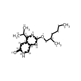 CCCCC(C)COc1nc(C(C)C)c2cc(=O)[nH]cc2n1